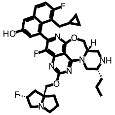 CCC[C@@H]1CN2c3nc(OC[C@@]45CCCN4C[C@H](F)C5)nc4c(F)c(-c5cc(O)cc6ccc(F)c(CC7CC7)c56)nc(c34)OC[C@@H]2CN1